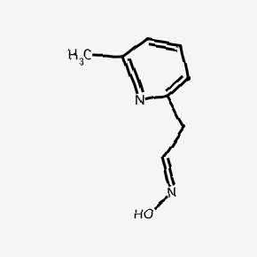 Cc1cccc(CC=NO)n1